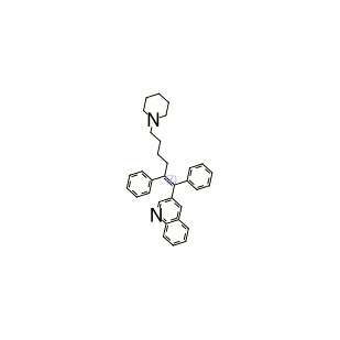 c1ccc(/C(CCCCN2CCCCC2)=C(/c2ccccc2)c2cnc3ccccc3c2)cc1